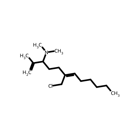 C=C(C)C(CC/C(=C/CCCCC)CCl)N(C)C